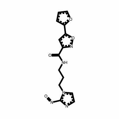 O=Nc1nccn1CCCNC(=O)c1cc(-c2ccco2)on1